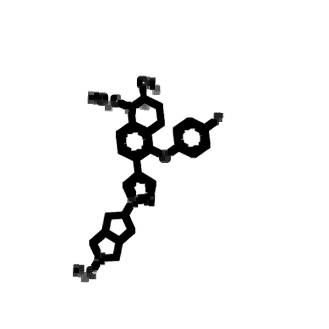 C[C@H]1CCc2c(ccc(-c3cnn(C4CC5CN(C)CC5C4)c3)c2Oc2ccc(F)cc2)N1C(=O)O